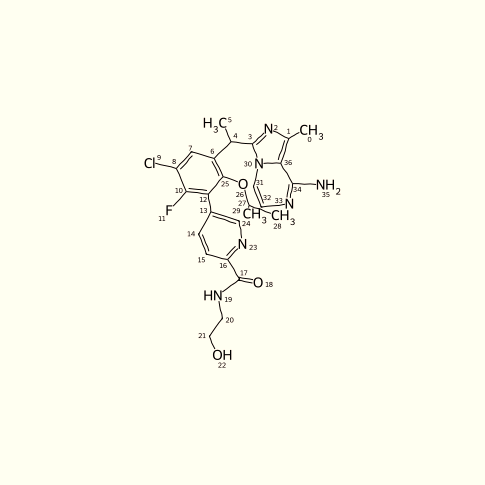 Cc1nc(C(C)c2cc(Cl)c(F)c(-c3ccc(C(=O)NCCO)nc3)c2OC(C)C)n2ccnc(N)c12